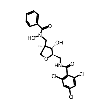 C[C@@]1(CN(O)C(=O)c2ccccc2)CO[C@H](CNC(=O)c2c(Cl)cc(Cl)cc2Cl)[C@H]1O